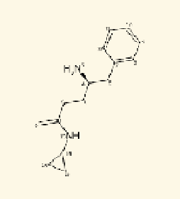 C=C(CC[C@@H](N)Cc1ccccc1)NC1CC1